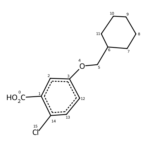 O=C(O)c1cc(OCC2CCCCC2)ccc1Cl